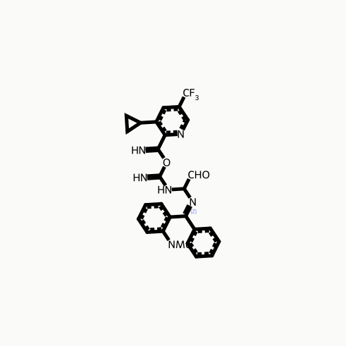 CNc1ccccc1/C(=N\C(C=O)NC(=N)OC(=N)c1ncc(C(F)(F)F)cc1C1CC1)c1ccccc1